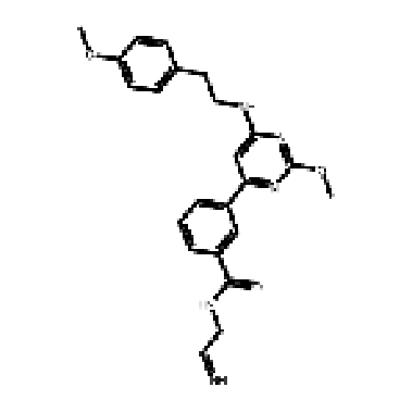 COc1ccc(CCNc2cc(-c3cccc(C(=O)NCC=N)c3)nc(OC)n2)cc1